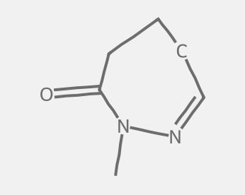 CN1N=CCCCC1=O